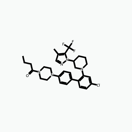 CCCC(=O)N1CCN(c2ccc(-c3ccc(Cl)cc3N3CCCC(n4ncc(C)c4C(F)(F)F)C3)cc2)CC1